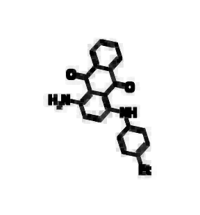 CCc1ccc(Nc2ccc(N)c3c2C(=O)c2ccccc2C3=O)cc1